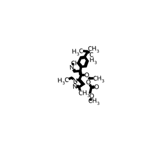 CCn1nc(C)cc1/C(OC(C)OC(=O)COC)=C(\C=N/C)c1ccc(C(C)(C)C)cc1